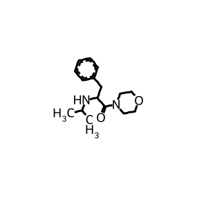 CC(C)NC(Cc1ccccc1)C(=O)N1CCOCC1